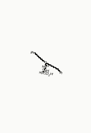 CC(C)CCCCCCCCCCCCOC(CCCCCCCCCCCC(C)C)CC(=O)NCC(=O)NC(CO)C(=O)O